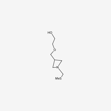 CSCN1CC(COCCO)C1